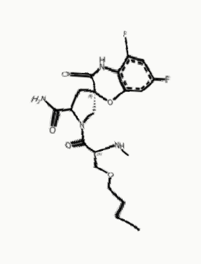 CCCCOC[C@H](NC)C(=O)N1C[C@@]2(CC1C(N)=O)Oc1cc(F)cc(F)c1NC2=O